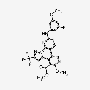 COC(=O)c1c(OC)ncc2c3cnc(Nc4cc(F)cc(OC)c4)nc3n3nc(C(F)(F)F)cc3c12